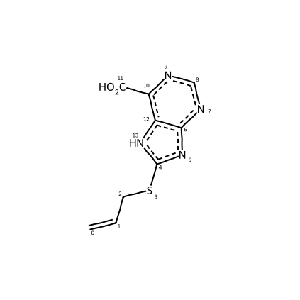 C=CCSc1nc2ncnc(C(=O)O)c2[nH]1